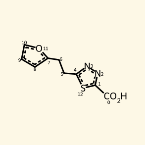 O=C(O)c1nnc(CCc2ccco2)s1